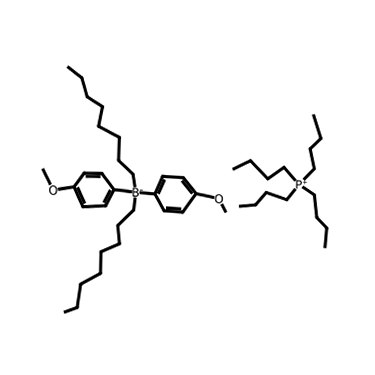 CCCCCCCC[B-](CCCCCCCC)(c1ccc(OC)cc1)c1ccc(OC)cc1.CCCC[P+](CCCC)(CCCC)CCCC